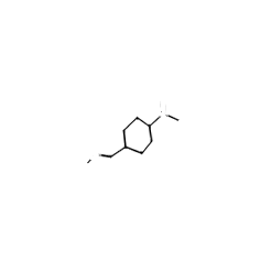 CNC1CCC(COC)CC1